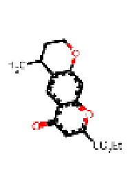 CCOC(=O)c1cc(=O)c2cc3c(cc2o1)OCCC3C